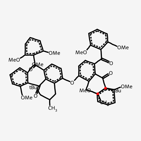 COc1cccc(OC)c1C(=O)c1ccc(Oc2ccc(C(=O)c3c(OC)cccc3OC)c(C(=O)c3c(OC)cccc3OC)c2CC(C)CC(C)(C)C)c(CC(C)CC(C)(C)C)c1C(=O)c1c(OC)cccc1OC